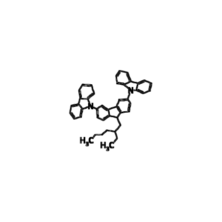 CCCCC(CC)CC1c2ccc(-n3c4ccccc4c4ccccc43)cc2-c2cc(-n3c4ccccc4c4ccccc43)ccc21